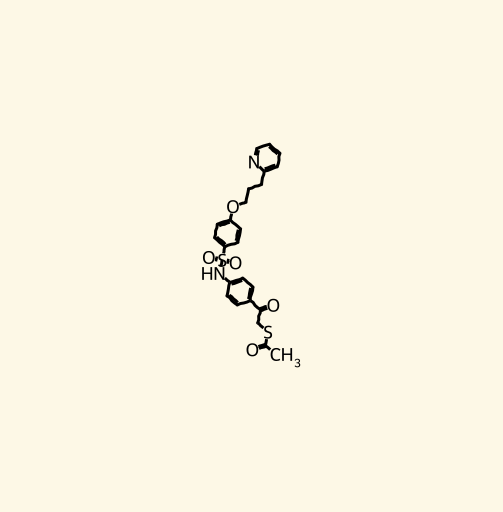 CC(=O)SCC(=O)c1ccc(NS(=O)(=O)c2ccc(OCCCc3ccccn3)cc2)cc1